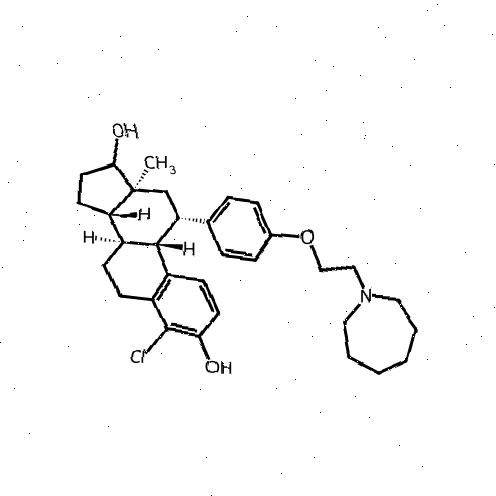 C[C@]12C[C@H](c3ccc(OCCN4CCCCCC4)cc3)[C@@H]3c4ccc(O)c(Cl)c4CC[C@H]3[C@@H]1CCC2O